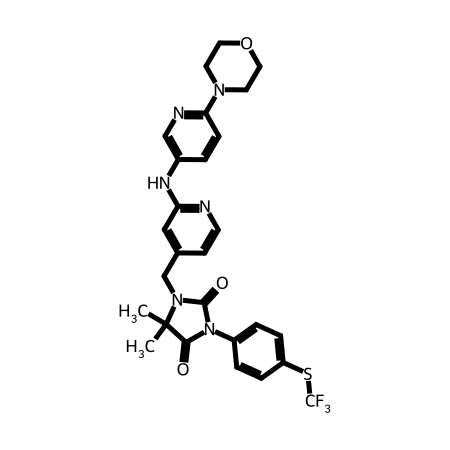 CC1(C)C(=O)N(c2ccc(SC(F)(F)F)cc2)C(=O)N1Cc1ccnc(Nc2ccc(N3CCOCC3)nc2)c1